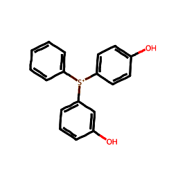 Oc1ccc([S+](c2ccccc2)c2cccc(O)c2)cc1